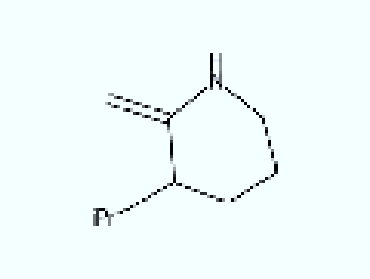 C=C1NCCCC1C(C)C